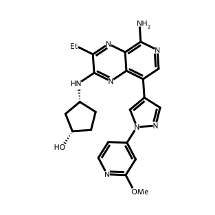 CCc1nc2c(N)ncc(-c3cnn(-c4ccnc(OC)c4)c3)c2nc1N[C@@H]1CC[C@H](O)C1